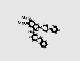 COc1cc2nc(N3CCN(c4ccccn4)CC3)nc(NC3CCCN(Cc4ccccc4)C3)c2cc1OC